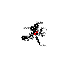 CCCCCCCCCCCCCCCCOC1C(OP(OCCN)N(C(C)C)C(C)C)[C@@H](COC(c2ccccc2)(c2ccc(OC)cc2)c2ccc(OC)cc2)O[C@H]1n1cnc2c(NC(=O)c3ccccc3)ncnc21